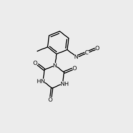 Cc1cccc(N=C=O)c1-n1c(=O)[nH]c(=O)[nH]c1=O